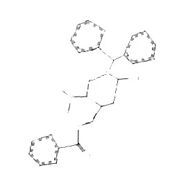 CN(C)C1CN(C(c2ccccc2)c2ccccc2)C(N)CC1CNC(=O)c1ccccc1